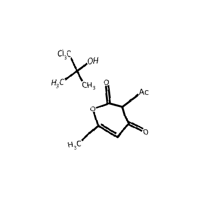 CC(=O)C1C(=O)C=C(C)OC1=O.CC(C)(O)C(Cl)(Cl)Cl